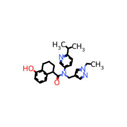 CCn1cc(CN(C(=O)C2CCCc3c(O)cccc32)c2ccc(C(C)C)nc2)cn1